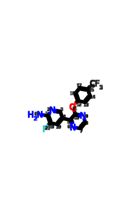 Nc1ncc(-c2nccnc2Oc2ccc(C(F)(F)F)cc2)cc1F